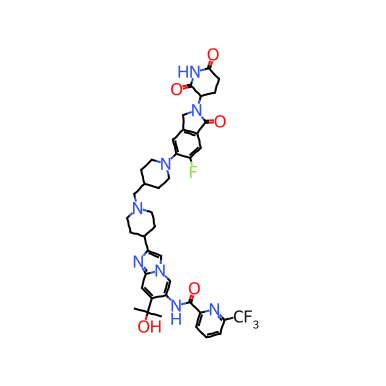 CC(C)(O)c1cc2nc(C3CCN(CC4CCN(c5cc6c(cc5F)C(=O)N(C5CCC(=O)NC5=O)C6)CC4)CC3)cn2cc1NC(=O)c1cccc(C(F)(F)F)n1